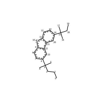 CCCC(C)(C)c1ccc2sc3ccc(C(C)(C)CC)cc3c2c1